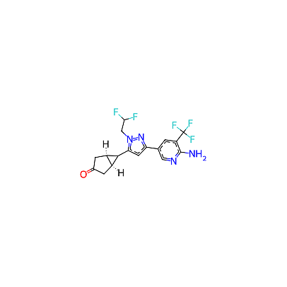 Nc1ncc(-c2cc(C3[C@H]4CC(=O)C[C@@H]34)n(CC(F)F)n2)cc1C(F)(F)F